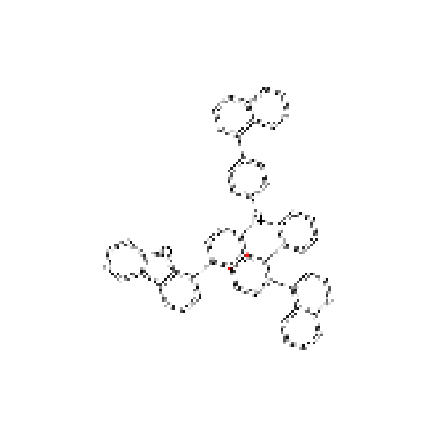 c1ccc(-c2cccc3ccccc23)c(-c2ccccc2N(c2ccc(-c3cccc4ccccc34)cc2)c2ccc(-c3cccc4c3oc3ccccc34)cc2)c1